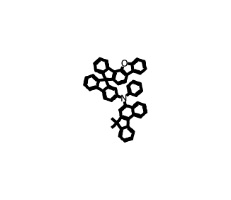 CC1(C)c2ccccc2-c2c1cc(N(c1ccccc1)c1ccc3c(c1)C1(c4ccccc4-3)c3ccccc3-c3c1ccc1c3oc3ccccc31)c1ccccc21